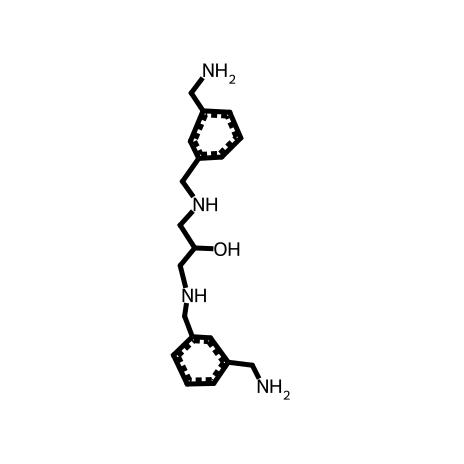 NCc1cccc(CNCC(O)CNCc2cccc(CN)c2)c1